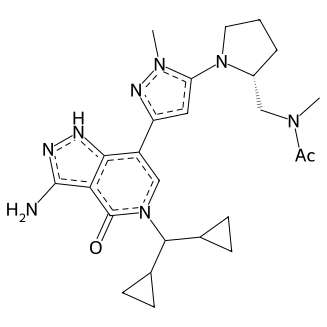 CC(=O)N(C)C[C@H]1CCCN1c1cc(-c2cn(C(C3CC3)C3CC3)c(=O)c3c(N)n[nH]c23)nn1C